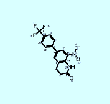 O=C1CCc2cc(-c3ccc(C(F)(F)F)cc3)cc([N+](=O)[O-])c2N1